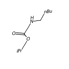 CCCCCNC(=O)OC(C)C